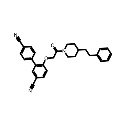 N#Cc1ccc(-c2cc(C#N)ccc2OCC(=O)N2CCC(CCc3ccccc3)CC2)cc1